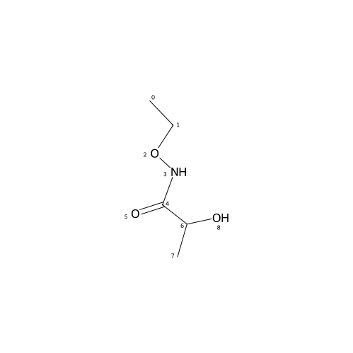 CCONC(=O)C(C)O